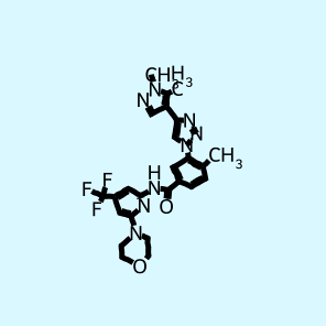 Cc1ccc(C(=O)Nc2cc(C(F)(F)F)cc(N3CCOCC3)n2)cc1-n1cc(-c2cnn(C)c2C)nn1